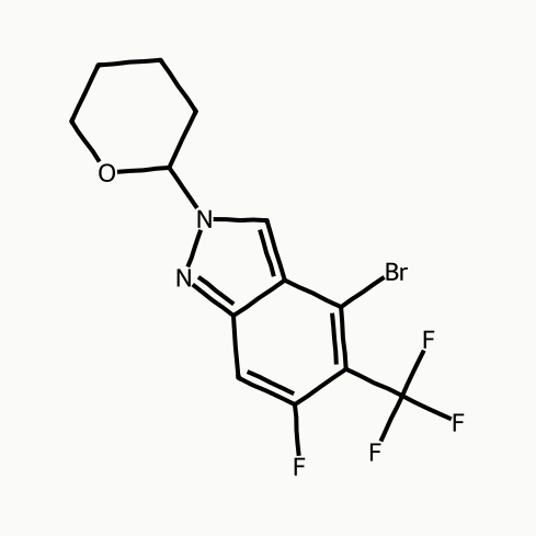 Fc1cc2nn(C3CCCCO3)cc2c(Br)c1C(F)(F)F